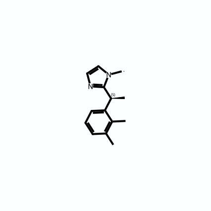 [CH2]n1ccnc1[C@@H](C)c1cccc(C)c1C